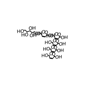 O=C(O)/C=C\C(=O)O.O=C(O)/C=C\C(=O)O.O=C(O)/C=C\C(=O)O.O=C(O)/C=C\C(=O)O.O=C(O)/C=C\C(=O)O.OC[C@@H](O)[C@@H](O)[C@@H](O)CO